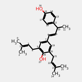 CC(C)=CCc1cc(/C=C/C(C)c2ccc(O)cc2)cc(CC=C(C)C)c1O